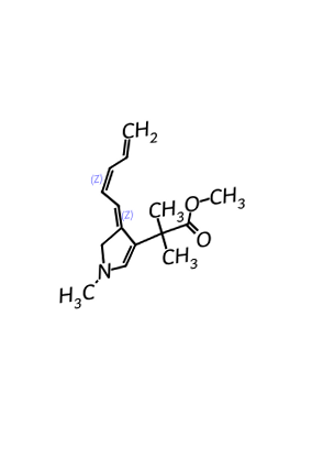 C=C/C=C\C=C1/CN(C)C=C1C(C)(C)C(=O)OC